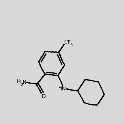 NC(=O)c1ccc(C(F)(F)F)cc1NC1CCCCC1